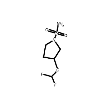 NS(=O)(=O)N1CCC(OC(F)F)C1